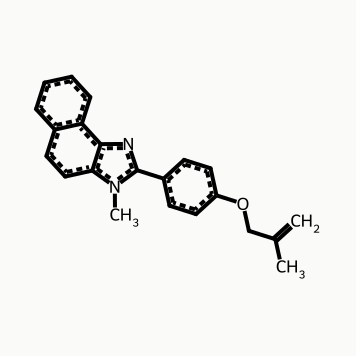 C=C(C)COc1ccc(-c2nc3c4ccccc4ccc3n2C)cc1